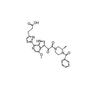 COc1cnc(-n2ccc(CCC(=O)O)n2)c2[nH]cc(C(=O)C(=O)N3CCN(C(=O)c4ccccc4)[C@H](C)C3)c12